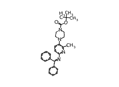 Cc1nc(N=C(c2ccccc2)c2ccccc2)ccc1N1CCN(C(=O)OC(C)(C)C)CC1